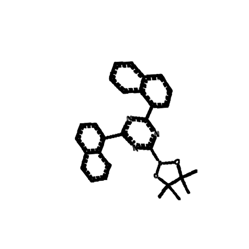 CC1(C)OB(c2nc(-c3cccc4ccccc34)nc(-c3cccc4ccccc34)n2)OC1(C)C